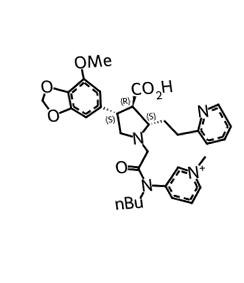 CCCCN(C(=O)CN1C[C@H](c2cc(OC)c3c(c2)OCO3)[C@@H](C(=O)O)[C@@H]1CCc1ccccn1)c1ccc[n+](C)c1